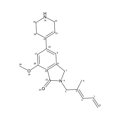 C=C/C=C(\C)CN1Cc2cc(C3=CCNCC3)cc(OC)c2C1=O